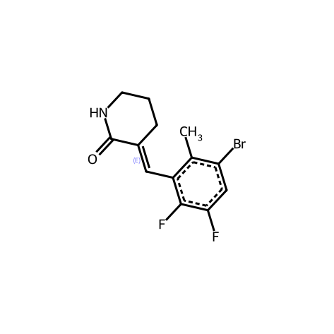 Cc1c(Br)cc(F)c(F)c1/C=C1\CCCNC1=O